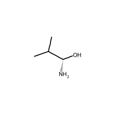 CC(C)[C@@H](N)O